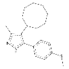 CSc1ccc(-c2[nH]nc(C)c2C2CCCCCCC2)cc1